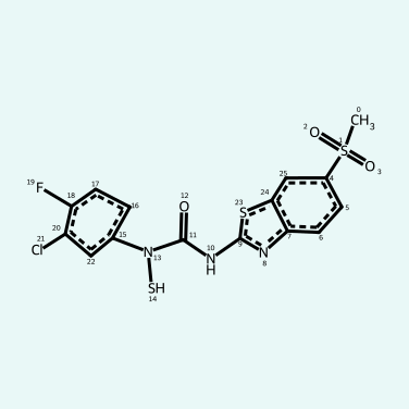 CS(=O)(=O)c1ccc2nc(NC(=O)N(S)c3ccc(F)c(Cl)c3)sc2c1